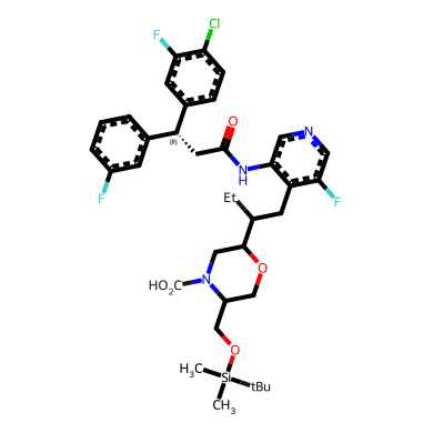 CCC(Cc1c(F)cncc1NC(=O)C[C@H](c1cccc(F)c1)c1ccc(Cl)c(F)c1)C1CN(C(=O)O)C(CO[Si](C)(C)C(C)(C)C)CO1